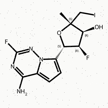 C[C@]1(CI)O[C@@H](c2ccc3c(N)nc(F)nn23)[C@H](F)[C@@H]1O